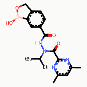 CCC(N(NC(=O)c1ccc2c(c1)B(O)OC2)C(=O)c1nc(C)cc(C)n1)C(C)(C)C